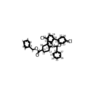 O=C(OCc1ccccc1)C1CCc2c(c3c(Cl)ccc(-c4ccc(Cl)cc4)c3n2C(=O)c2ccccc2)C1